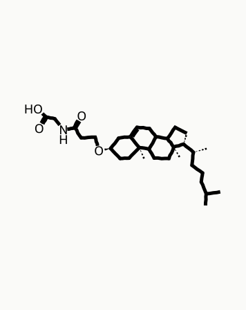 CC(C)CCC[C@@H](C)[C@H]1CCC2C3CC=C4C[C@@H](OCCC(=O)NCC(=O)O)CC[C@]4(C)C3CC[C@@]21C